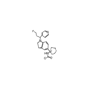 O=C([O-])N[N+]1(c2ccc3c(c2)CCN3C(CCF)c2ccncc2)CCCCC1